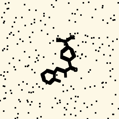 CCN(CC)c1ccc(C(=O)C(C)=Cc2ccccc2C)cc1